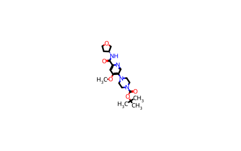 COc1cc(C(=O)N[C@@H]2CCOC2)ncc1N1CCN(C(=O)OC(C)(C)C)CC1